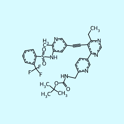 CCc1ncnc(-c2ccc(CNC(=O)OC(C)(C)C)nc2)c1C#Cc1cnc(C)c(NS(=O)(=O)c2ccccc2C(F)(F)F)c1